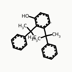 CC(C)(c1ccccc1)c1[c]ccc(O)c1C(C)(C)c1ccccc1